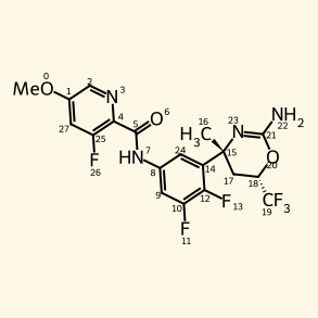 COc1cnc(C(=O)Nc2cc(F)c(F)c([C@@]3(C)C[C@@H](C(F)(F)F)OC(N)=N3)c2)c(F)c1